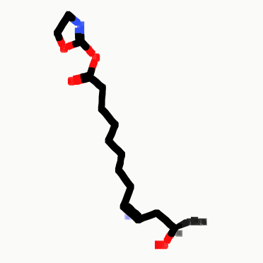 CCCCCC[C@@H](O)C/C=C\CCCCCCCC(=O)OC1=NCCO1